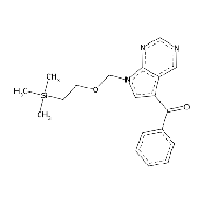 C[Si](C)(C)CCOCn1cc(C(=O)c2ccccc2)c2cncnc21